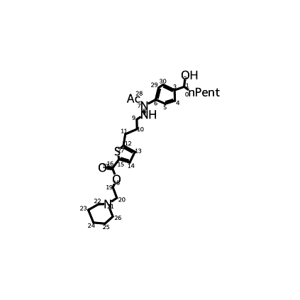 CCCCCC(O)c1ccc(N(NCCCc2ccc(C(=O)OCCN3CCCCC3)s2)C(C)=O)cc1